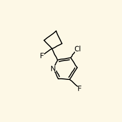 Fc1cnc(C2(F)CCC2)c(Cl)c1